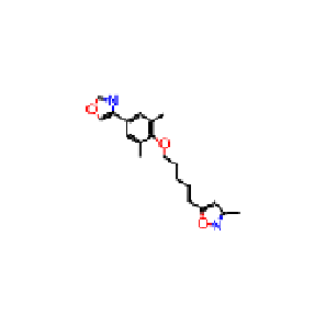 Cc1cc(CCCCCOc2c(C)cc(-c3cocn3)cc2C)on1